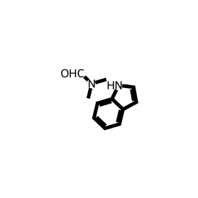 CN(C)C=O.c1ccc2[nH]ccc2c1